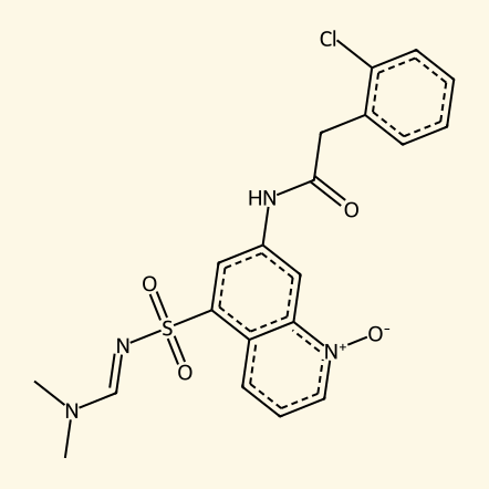 CN(C)/C=N/S(=O)(=O)c1cc(NC(=O)Cc2ccccc2Cl)cc2c1ccc[n+]2[O-]